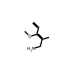 C=C/C(OC)=C(\C)CN